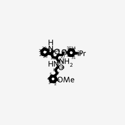 COc1ccccc1CCC(=O)NC(N)C(Cc1c[nH]c2ccccc12)C(=O)COc1ccc(C(C)C)cc1